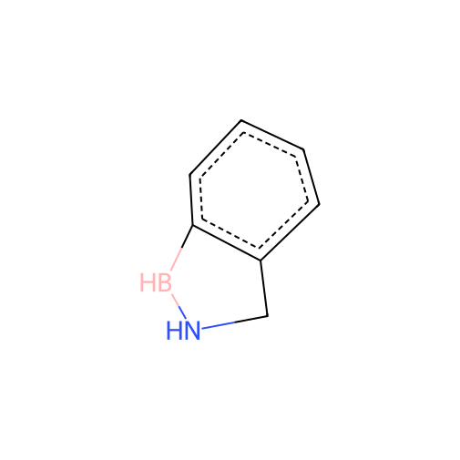 B1NCc2ccccc21